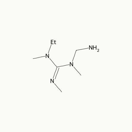 CCN(C)C(=NC)N(C)CN